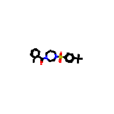 Cc1ccccc1C(=O)N1CCCN(S(=O)(=O)c2ccc(C(C)(C)C)cc2)CC1